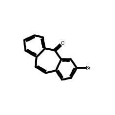 O=c1c2ccccc2ccc2ccc(Br)cc12